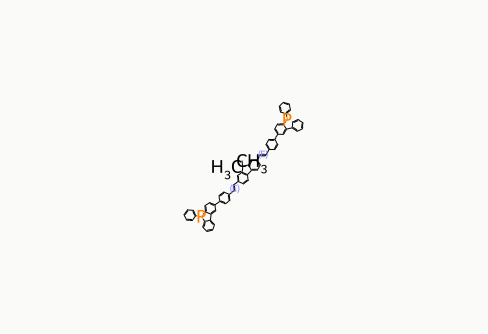 CC1(C)c2cc(/C=C/c3ccc(-c4ccc5c(c4)c4ccccc4p5-c4ccccc4)cc3)ccc2-c2ccc(/C=C/c3ccc(-c4ccc5c(c4)c4ccccc4p5-c4ccccc4)cc3)cc21